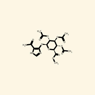 COC(=O)[C@H]1O[C@@H](Oc2nc[nH]c2C(N)=O)[C@H](OC(C)=O)[C@@H](OC(C)=O)[C@@H]1OC(C)=O